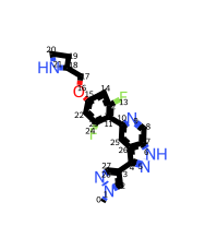 Cn1cc(-c2n[nH]c3cnc(-c4c(F)cc(OCC5CCN5)cc4F)cc23)cn1